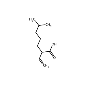 C=CC(CCCC(C)C)C(=O)O